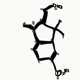 CCOC(=O)c1ccc2c(c1)C(C)(C)C(=CC=O)N2C